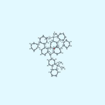 CC1(C)c2ccccc2-c2ccc(-c3c(-c4ccccc4-c4ccccc4)cccc3N(c3ccc(-c4ccccc4)cc3)c3ccc4c(c3)C(C)(C)c3ccccc3-4)cc21